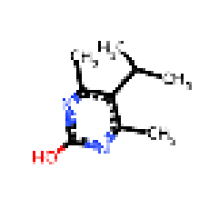 Cc1nc(O)nc(C)c1C(C)C